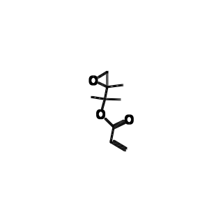 C=CC(=O)OC(C)(C)C1(C)CO1